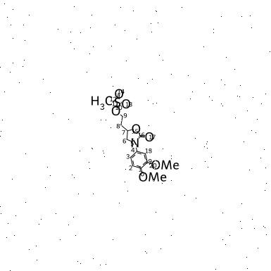 COc1ccc(N2CC(CCOS(C)(=O)=O)OC2=O)cc1OC